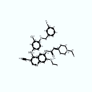 CCOc1cc2ncc(C#N)c(Nc3ccc(OCc4cccc(F)c4)c(Cl)c3)c2cc1NC(=O)C=C1CCN(CC)CC1